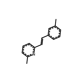 Cc1cccc(/C=C/c2cccc(C)n2)c1